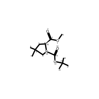 COC(=O)[C@@H]1CC(C)(C)CN1C(=O)OC(C)(C)C